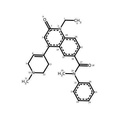 CCn1c(=O)cc(C2=CCN(C)CC2)c2cc(C(=O)N(C)c3ccccc3)ccc21